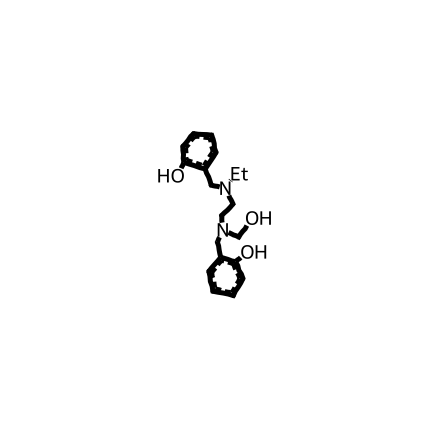 CCN(CCN(CO)Cc1ccccc1O)Cc1ccccc1O